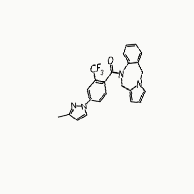 Cc1ccn(-c2ccc(C(=O)N3Cc4cccn4Cc4ccccc43)c(C(F)(F)F)c2)n1